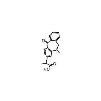 CC(C(=O)O)c1ccc2c(c1)N(C)Cc1ccccc1C2=O